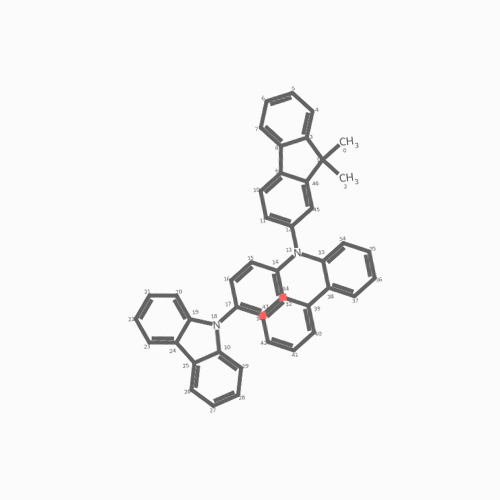 CC1(C)c2ccccc2-c2ccc(N(c3ccc(-n4c5ccccc5c5ccccc54)cc3)c3ccccc3-c3ccccc3)cc21